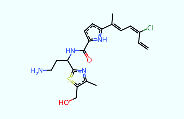 C=C/C(Cl)=C\C=C(/C)c1ccc(C(=O)NC(CCN)c2nc(C)c(CO)s2)[nH]1